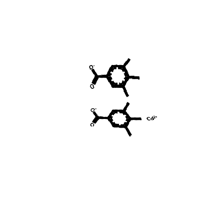 Cc1cc(C(=O)[O-])cc(C)c1C.Cc1cc(C(=O)[O-])cc(C)c1C.[Cd+2]